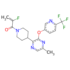 C=C(F)C(=O)N1CCC(c2ncc(C)nc2Oc2ccc(C(F)(F)F)nc2)CC1